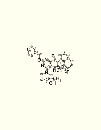 C#Cc1c(F)ccc2cccc(-c3c([N+](=O)[O-])cc4c(N5CCC[C@@](C)(O)C5)nc(OCC5CCOCC5)nc4c3F)c12